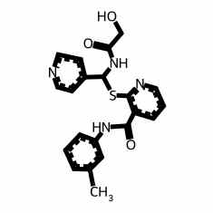 Cc1cccc(NC(=O)c2cccnc2SC(NC(=O)CO)c2ccncc2)c1